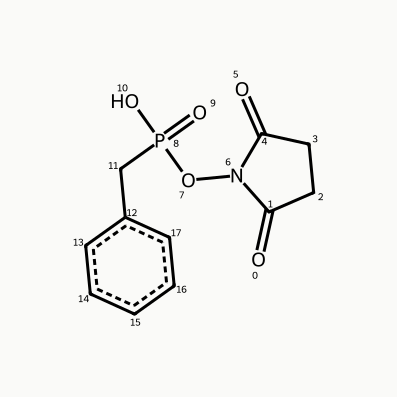 O=C1CCC(=O)N1OP(=O)(O)Cc1ccccc1